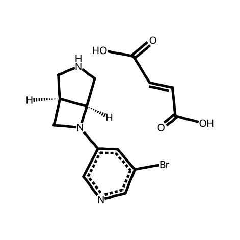 Brc1cncc(N2C[C@H]3CNC[C@H]32)c1.O=C(O)C=CC(=O)O